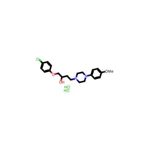 COc1ccc(N2CCN(CCC(O)COc3ccc(Cl)cc3)CC2)cc1.Cl.Cl